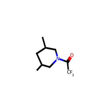 CC1CC(C)CN(C(=O)C(F)(F)F)C1